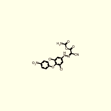 N#CC(=NNc1cc(Cl)c(Oc2ccc([N+](=O)[O-])cc2)c(Cl)c1)C(=O)OC(N)=O